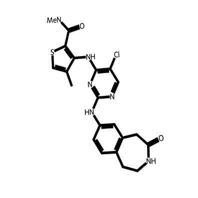 CNC(=O)c1scc(C)c1Nc1nc(Nc2ccc3c(c2)CC(=O)NCC3)ncc1Cl